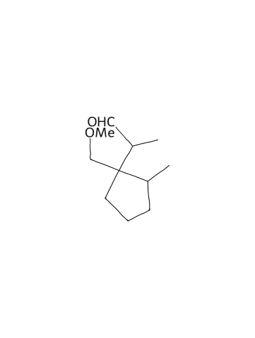 COCC1(C(C)C=O)CCCC1C